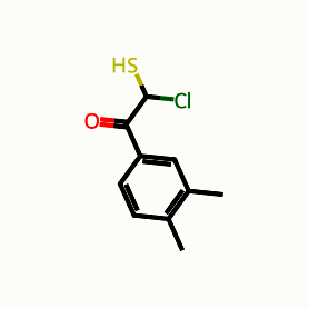 Cc1ccc(C(=O)C(S)Cl)cc1C